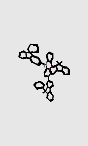 CC1(C)c2ccccc2-c2cccc(-c3ccccc3N(c3ccc(-c4ccc5c(c4)C(C)(c4ccccc4)c4ccccc4-5)cc3)c3ccc4c(c3)C3(CCCCC3)c3ccccc3-4)c21